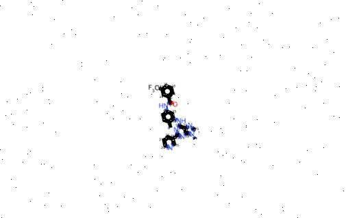 Cc1ccc(NC(=O)c2cccc(C(F)(F)F)c2)cc1Nc1nc(-c2cccnc2)nc2c1ncn2C